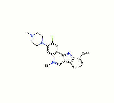 CCn1cc2c3cccc(OC)c3nc-2c2cc(F)c(N3CCN(C)CC3)cc21